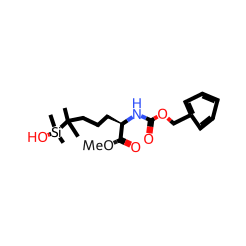 COC(=O)[C@@H](CCCC(C)(C)[Si](C)(C)O)NC(=O)OCc1ccccc1